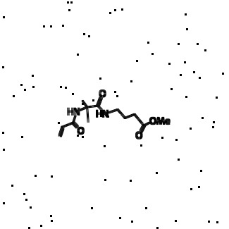 C=CC(=O)NC(C)(C)C(=O)NCCCC(=O)OC